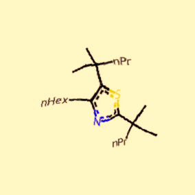 CCCCCCc1nc(C(C)(C)CCC)sc1C(C)(C)CCC